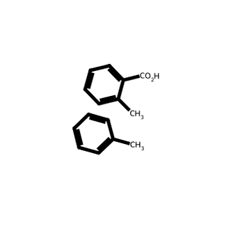 Cc1ccccc1.Cc1ccccc1C(=O)O